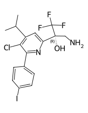 CC(C)c1cc([C@](O)(CN)C(F)(F)F)nc(-c2ccc(I)cc2)c1Cl